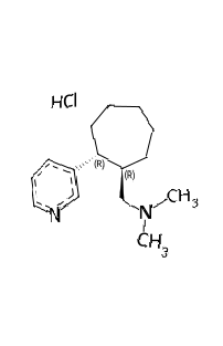 CN(C)C[C@@H]1CCCCC[C@H]1c1cccnc1.Cl